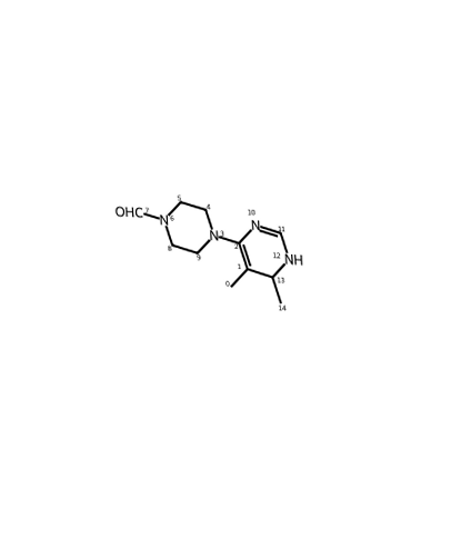 CC1=C(N2CCN(C=O)CC2)N=CNC1C